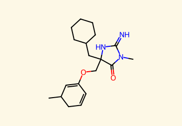 CC1C=C(OCC2(CC3CCCCC3)NC(=N)N(C)C2=O)C=CC1